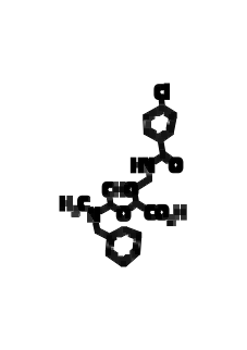 CN(Cc1ccccc1)C(C=O)OC(CCNC(=O)c1ccc(Cl)cc1)C(=O)O